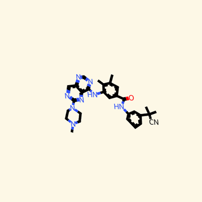 Cc1cc(C(=O)Nc2cccc(C(C)(C)C#N)c2)cc(Nc2ncnc3cnc(N4CCN(C)CC4)nc23)c1C